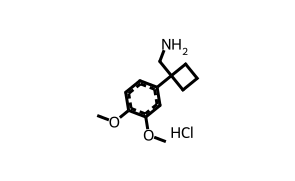 COc1ccc(C2(CN)CCC2)cc1OC.Cl